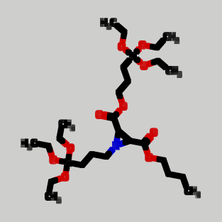 CCCCOC(=O)C1C(C(=O)OCCC[Si](OCC)(OCC)OCC)N1CCC[Si](OCC)(OCC)OCC